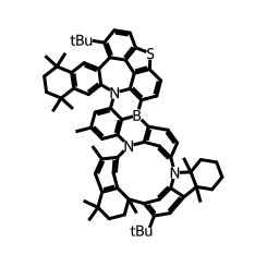 Cc1cc2c3c(c1)-n1c4cc5c(cc4c4c(C(C)(C)C)ccc6sc7ccc(c1c7c64)B3c1ccc3cc1N2c1cc2c(cc1C)C(C)(C)CCC2(C)c1cc2c(cc1C(C)(C)C)C1(C)CCCCC1(C)N32)C(C)(C)CCC5(C)C